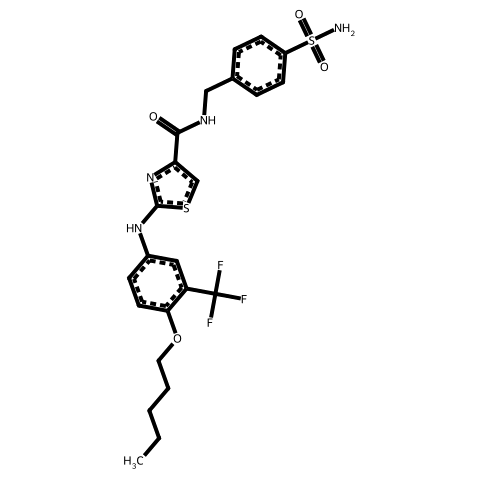 CCCCCOc1ccc(Nc2nc(C(=O)NCc3ccc(S(N)(=O)=O)cc3)cs2)cc1C(F)(F)F